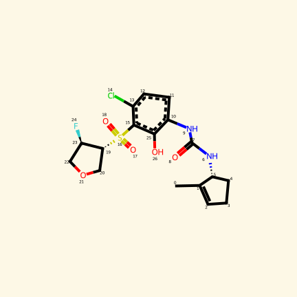 CC1=CCC[C@H]1NC(=O)Nc1ccc(Cl)c(S(=O)(=O)[C@@H]2COC[C@H]2F)c1O